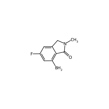 Bc1cc(F)cc2c1C(=O)N(C)C2